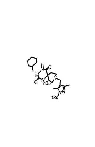 CCCCN1C(=O)[C@H](CC2CCCCC2)NC(=O)C12CCN(Cc1c(C)nn(C(C)(C)C)c1C)CC2